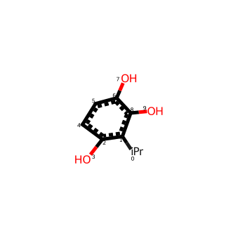 CC(C)c1c(O)ccc(O)c1O